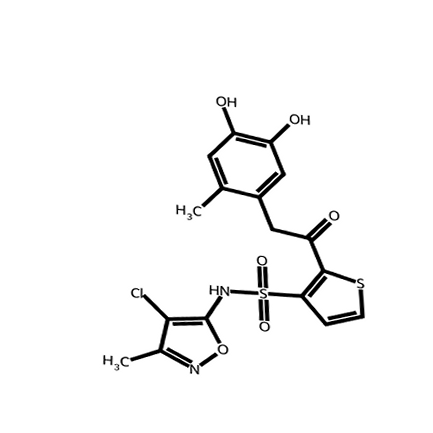 Cc1cc(O)c(O)cc1CC(=O)c1sccc1S(=O)(=O)Nc1onc(C)c1Cl